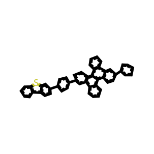 c1ccc(-c2ccc3c(c2)c2ccccc2c2c4ccc(-c5ccc(-c6ccc7c(c6)sc6ccccc67)cc5)cc4c4ccccc4c32)cc1